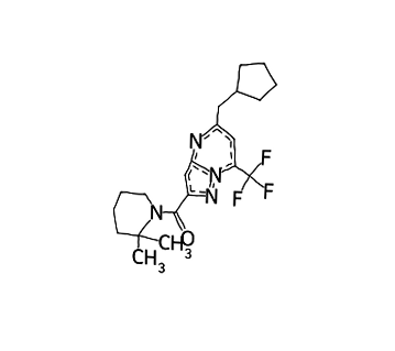 CC1(C)CCCCN1C(=O)c1cc2nc(CC3CCCC3)cc(C(F)(F)F)n2n1